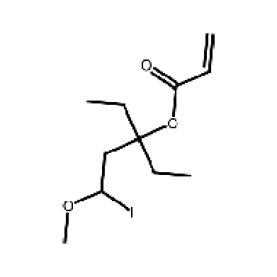 C=CC(=O)OC(CC)(CC)CC(I)OC